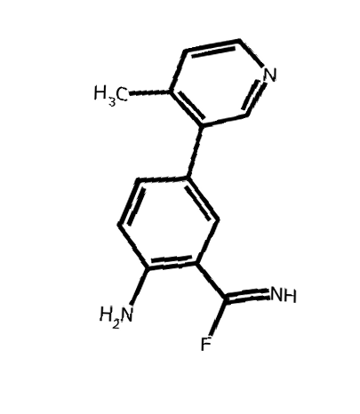 Cc1ccncc1-c1ccc(N)c(C(=N)F)c1